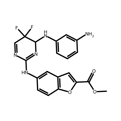 COC(=O)c1cc2cc(NC3=NC(Nc4cccc(N)c4)C(F)(F)C=N3)ccc2o1